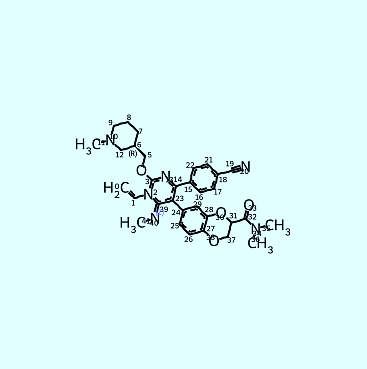 C=Cn1c(OC[C@@H]2CCCN(C)C2)nc(-c2ccc(C#N)cc2)c(-c2ccc3c(c2)OC(C(=O)N(C)C)CO3)/c1=N/C